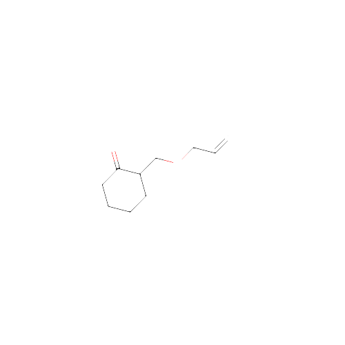 C=CCOCC1CCCCC1=O